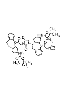 CC(C)(C)OC(=O)Nc1ccc2c(c1)N(C(=O)CN1C(=O)C=C(C3Cc4ccccc4N(C(=O)Cn4cccc4)c4cc(NC(=O)OC(C)(C)C)ccc43)C1=O)c1ccccc1CC2